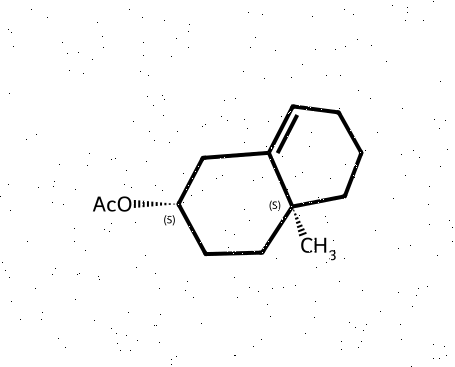 CC(=O)O[C@H]1CC[C@]2(C)CCCC=C2C1